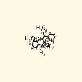 C/N=C/C(C1=CCCC=C1)=C1\Nc2c(C)cccc2C(C)(C)C1(C)C